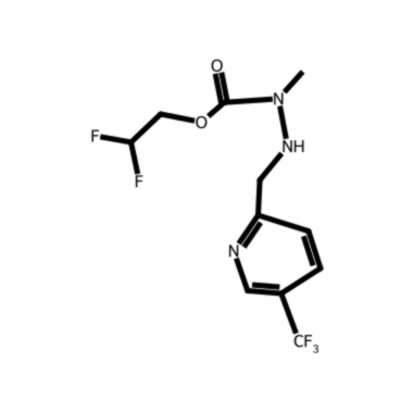 CN(NCc1ccc(C(F)(F)F)cn1)C(=O)OCC(F)F